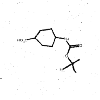 CCC(C)(C)OC(=O)NC1CCC(C(=O)O)CC1